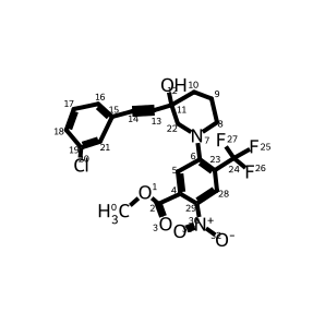 COC(=O)c1cc(N2CCCC(O)(C#Cc3cccc(Cl)c3)C2)c(C(F)(F)F)cc1[N+](=O)[O-]